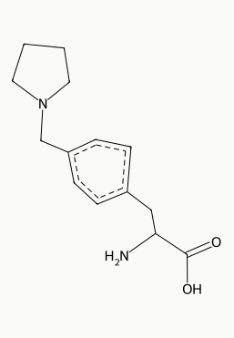 NC(Cc1ccc(CN2CCCC2)cc1)C(=O)O